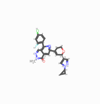 Cn1ncc2c(-c3ccc(Cl)cc3F)nc(C3=C[C@H](c4cnn(C5CC5)c4)OCC3)cc2c1=O